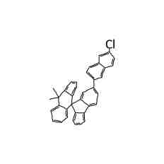 CC1(C)c2ccccc2C2(c3ccccc3-c3ccc(-c4ccc5cc(Cl)ccc5c4)cc32)c2ccccc21